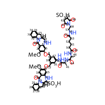 COc1cc2c(cc1OCc1cc(COc3cc4c(cc3OC)C(=O)N3c5ccccc5C[C@H]3C(S(=O)(=O)O)N4)cc(NC(=O)[C@H](C)NC(=O)[C@H](C)NC(=O)CCCCC(=O)NCCN3C(=O)CC(S(=O)(=O)O)C3=O)c1)NC[C@@H]1Cc3ccccc3N1C2=O